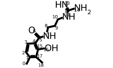 Cc1ccc(C(=O)NCCCNC(=N)N)c(O)c1C